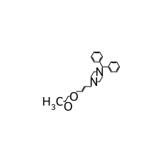 CC(=O)COC/C=C/CN1CCN(C(c2ccccc2)c2ccccc2)CC1